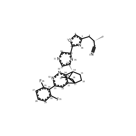 C[C@H](C#N)Cc1coc(-c2cncc([C@]34CCC5(CC53C)c3cc(-c5c(F)cccc5F)nnc34)n2)n1